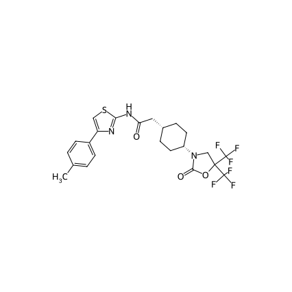 Cc1ccc(-c2csc(NC(=O)C[C@H]3CC[C@@H](N4CC(C(F)(F)F)(C(F)(F)F)OC4=O)CC3)n2)cc1